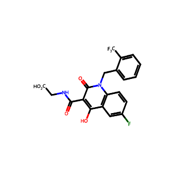 O=C(O)CNC(=O)c1c(O)c2cc(F)ccc2n(Cc2ccccc2C(F)(F)F)c1=O